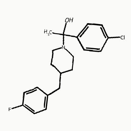 CC(O)(c1ccc(Cl)cc1)N1CCC(Cc2ccc(F)cc2)CC1